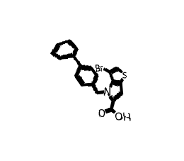 O=C(O)c1cc2scc(Br)c2n1Cc1ccc(-c2ccccc2)cc1